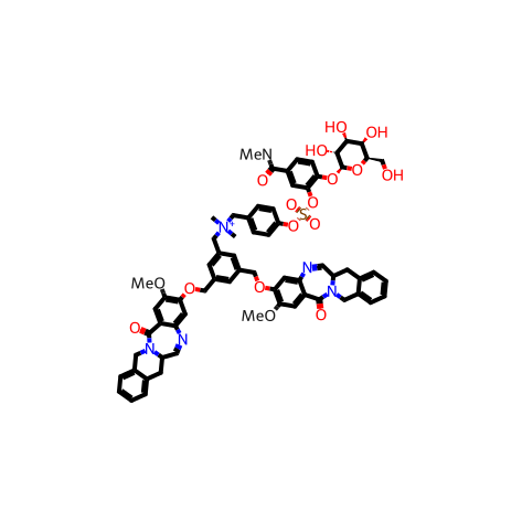 CNC(=O)c1ccc(O[C@@H]2O[C@H](CO)[C@H](O)[C@H](O)[C@H]2O)c(OS(=O)(=O)Oc2ccc(C[N+](C)(C)Cc3cc(COc4cc5c(cc4OC)C(=O)N4Cc6ccccc6CC4C=N5)cc(COc4cc5c(cc4OC)C(=O)N4Cc6ccccc6CC4C=N5)c3)cc2)c1